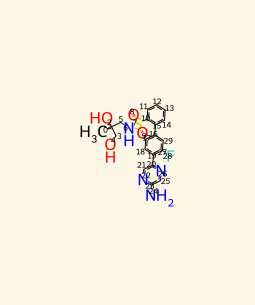 C[C@](O)(CO)CNS(=O)(=O)c1ccccc1-c1ccc(-c2cnc(N)cn2)c(F)c1